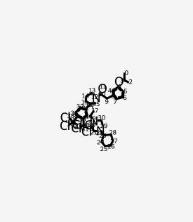 CC(C)Oc1cccc(CC(=O)N2CCC[C@](CCN3CCN(C4CCCCC4)CC3)(c3ccc(C(Cl)(Cl)Cl)c(C(Cl)(Cl)Cl)c3)C2)c1